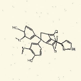 COc1cc(C2(c3ccc(O)c(OC)c3)Cc3c(Cl)c(-c4cc[nH]n4)c(Cl)c2c3C(F)(F)F)ccc1O